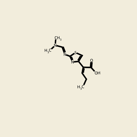 CC/C=C(\C(=O)O)c1csc(/N=C/N(C)C)n1